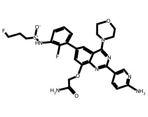 NC(=O)COc1cc(-c2cccc(N[S+]([O-])CCCF)c2F)cc2c(N3CCOCC3)nc(-c3ccc(N)nc3)nc12